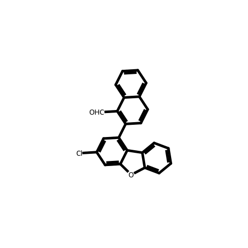 O=Cc1c(-c2cc(Cl)cc3oc4ccccc4c23)ccc2ccccc12